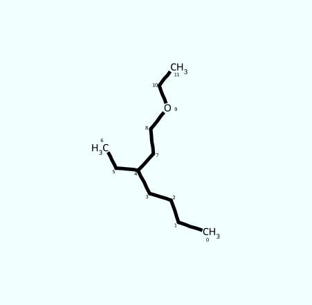 CCCCC(CC)CCOCC